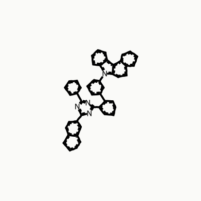 c1ccc(-c2nc(-c3ccc4ccccc4c3)nc(-c3ccccc3-c3cccc(-n4c5ccccc5c5c6ccccc6ccc54)c3)n2)cc1